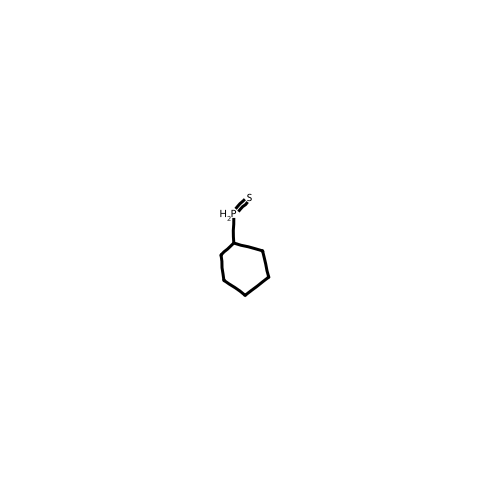 S=[PH2]C1CCCCC1